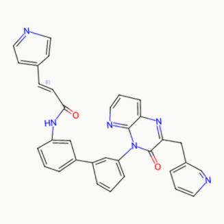 O=C(/C=C/c1ccncc1)Nc1cccc(-c2cccc(-n3c(=O)c(Cc4cccnc4)nc4cccnc43)c2)c1